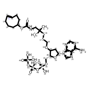 CC(C)(CNC(=O)OC1CC/C=C/CCC1)SSCOC1C[C@H](n2cnc3c(N)ncnc32)O[C@@H]1COP(=O)(O)OP(=O)(O)OP(=O)(O)O